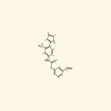 COc1cccc(CC(=O)Nc2ccc(-c3cnco3)c(C)c2)c1